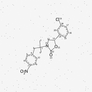 CC(C)(Cc1ccc([N+](=O)[O-])cc1)N1CC(c2cccc(Cl)c2)OC1=O